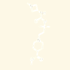 COC(=O)C1CCN(CCC(C)(C)OC(=O)NC2CN(C)C2)CC1